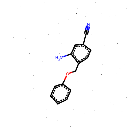 N#Cc1ccc(COc2ccccc2)c(N)c1